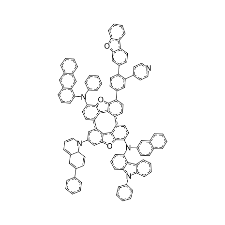 C1=CN(c2cc3oc4c(N(c5ccc6ccccc6c5)c5cccc6c5c5ccccc5n6-c5ccccc5)ccc5c6ccc(-c7ccc(-c8ccc9c(c8)oc8ccccc89)c(-c8ccncc8)c7)c7oc8c(N(c9ccccc9)c9cccc%10cc%11ccccc%11cc9%10)ccc(c(c2)c3c45)c8c76)C2C=CC(c3ccccc3)=CC2=C1